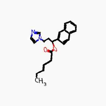 CCCCCC(=O)OC(CCn1ccnc1)c1ccc2ccccc2c1